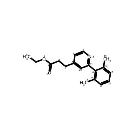 CCOC(=O)CCc1ccnc(-c2c(C)cccc2C)c1